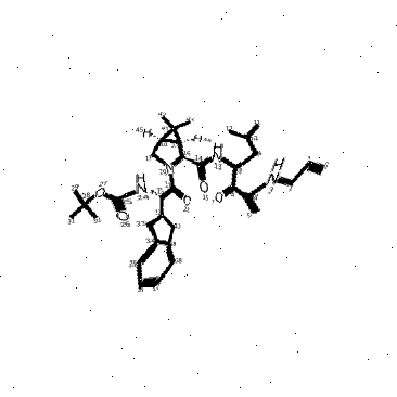 C=CCNC(=C)C(=O)C(CC(C)C)NC(=O)[C@@H]1[C@H]2[C@@H](CN1C(=O)[C@@H](NC(=O)OC(C)(C)C)C1Cc3ccccc3C1)C2(C)C